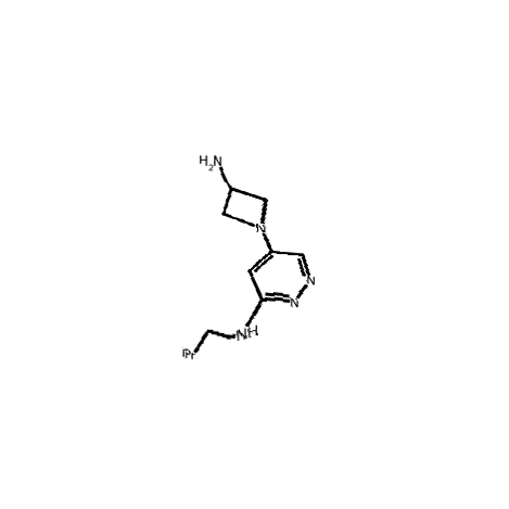 CC(C)CNc1cc(N2CC(N)C2)cnn1